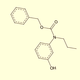 CCCN(C(=O)OCc1ccccc1)c1cccc(O)c1